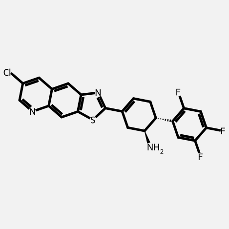 N[C@H]1CC(c2nc3cc4cc(Cl)cnc4cc3s2)=CC[C@@H]1c1cc(F)c(F)cc1F